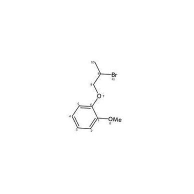 COc1ccccc1OCC(C)Br